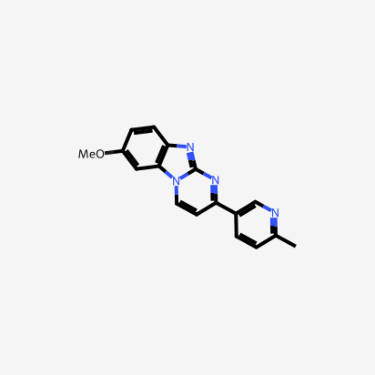 COc1ccc2nc3nc(-c4ccc(C)nc4)ccn3c2c1